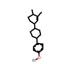 CCOc1ccc(C2CCC(C3C=C(C)C(C)CC3)CC2)cc1